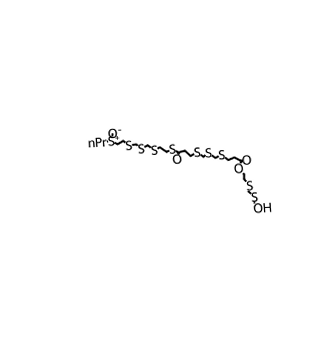 CCC[S+]([O-])CCSCSCSCCSC(=O)CCSCSCSCCC(=O)OCCSCSCO